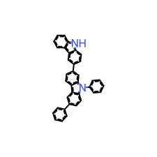 c1ccc(-c2ccc3c(c2)c2ccc(-c4ccc5[nH]c6ccccc6c5c4)cc2n3-c2ccccc2)cc1